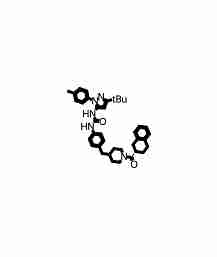 Cc1ccc(-n2nc(C(C)(C)C)cc2NC(=O)Nc2ccc(CC3CCN(C(=O)[C@H]4CCc5ccccc5C4)CC3)cc2)cc1